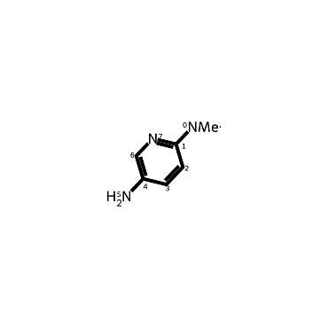 C[N]c1ccc(N)cn1